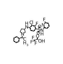 C[C@@H](c1ccccc1)N1CCC(Nc2ccc(S(=O)(=O)Nc3cccc(F)n3)c(F)c2Cl)C1.O=C(O)C(F)(F)F